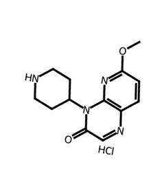 COc1ccc2ncc(=O)n(C3CCNCC3)c2n1.Cl